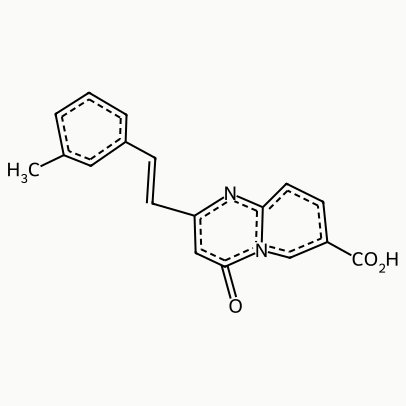 Cc1cccc(C=Cc2cc(=O)n3cc(C(=O)O)ccc3n2)c1